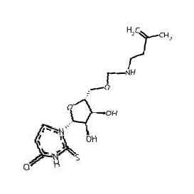 C=C(C)CCNCOC[C@H]1O[C@@H](n2ccc(=O)[nH]c2=S)[C@H](O)[C@@H]1O